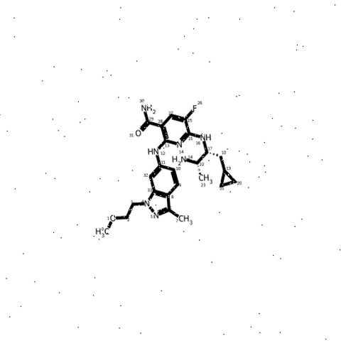 COCCn1nc(C)c2ccc(Nc3nc(N[C@H](CC4CC4)[C@H](C)N)c(F)cc3C(N)=O)cc21